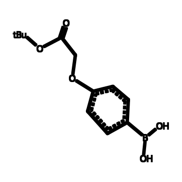 CC(C)(C)OC(=O)COc1ccc(B(O)O)cc1